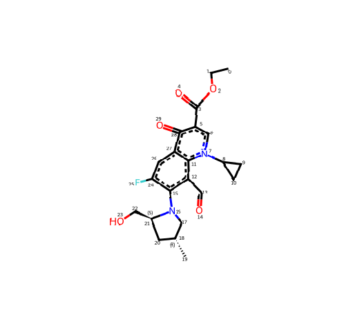 CCOC(=O)c1cn(C2CC2)c2c(C=O)c(N3C[C@H](C)C[C@H]3CO)c(F)cc2c1=O